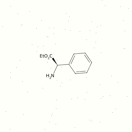 CCOC(=O)[C@H](N)c1ccccc1